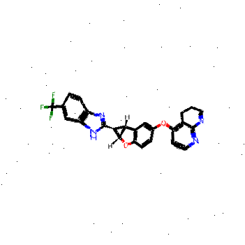 FC(F)(F)c1ccc2nc([C@@H]3[C@H]4Oc5ccc(Oc6ccnc7c6CCC=N7)cc5[C@H]43)[nH]c2c1